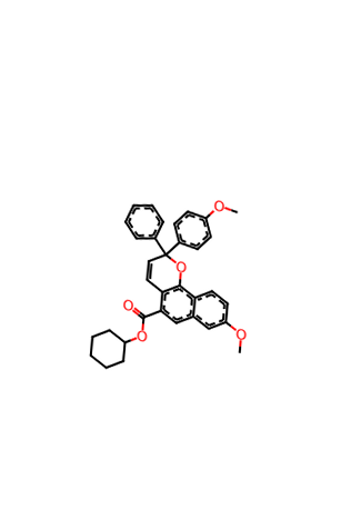 COc1ccc(C2(c3ccccc3)C=Cc3c(C(=O)OC4CCCCC4)cc4cc(OC)ccc4c3O2)cc1